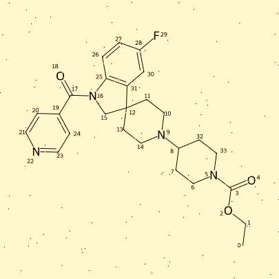 CCOC(=O)N1CCC(N2CCC3(CC2)CN(C(=O)c2ccncc2)c2ccc(F)cc23)CC1